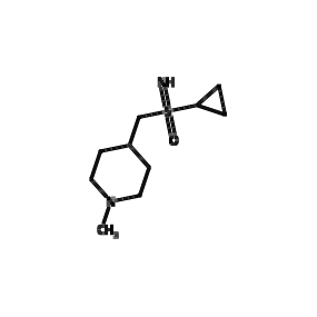 CN1CCC(CS(=N)(=O)C2CC2)CC1